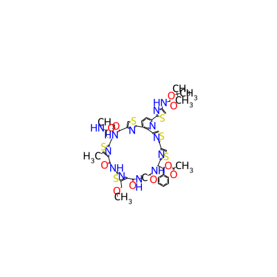 CNC(=O)C[C@@H]1NC(=O)c2csc(n2)-c2ccc(-c3nc(NC(=O)OC(C)(C)C)cs3)nc2-c2csc(n2)-c2csc(n2)[C@H]([C@@H](OC(C)=O)c2ccccc2)NC(=O)CNC(=O)c2nc(sc2COC)NC(=O)c2nc1sc2C